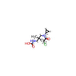 CC(C)(CNC(=O)O)CN(C(=O)CCl)C1CC1